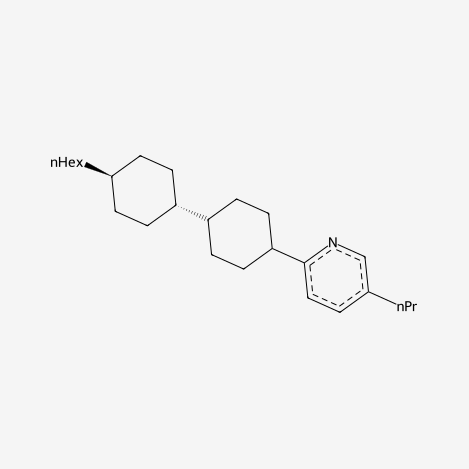 CCCCCC[C@H]1CC[C@H](C2CCC(c3ccc(CCC)cn3)CC2)CC1